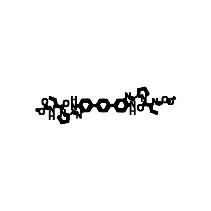 CCC(/N=C/OOC)C(=O)N1CCC[C@H]1c1nc2cc(-c3ccc(-c4ccc5[nH]c([C@@H]6CCCN6C(=O)C(CC)NC(=O)OC)nc5c4)cc3)ccc2[nH]1